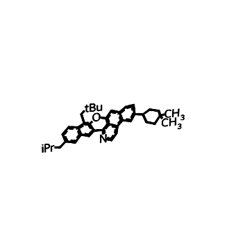 CC(C)Cc1ccc2c(CC(C)(C)C)c3c(cc2c1)-c1nccc2c1c(cc1ccc(C4CCC(C)(C)CC4)cc12)O3